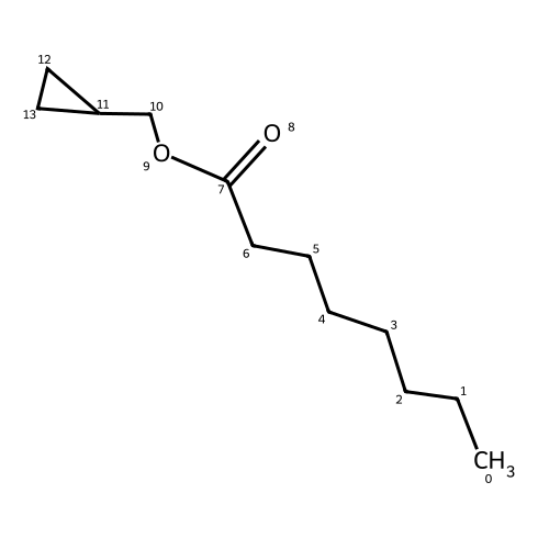 CCCCCCCC(=O)OCC1CC1